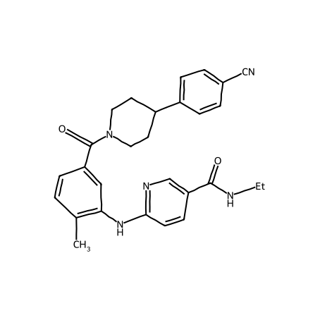 CCNC(=O)c1ccc(Nc2cc(C(=O)N3CCC(c4ccc(C#N)cc4)CC3)ccc2C)nc1